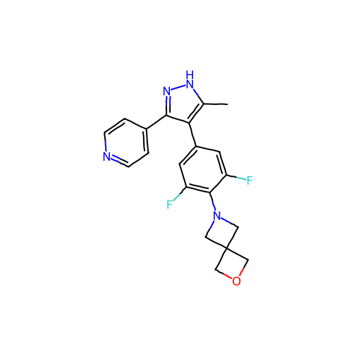 Cc1[nH]nc(-c2ccncc2)c1-c1cc(F)c(N2CC3(COC3)C2)c(F)c1